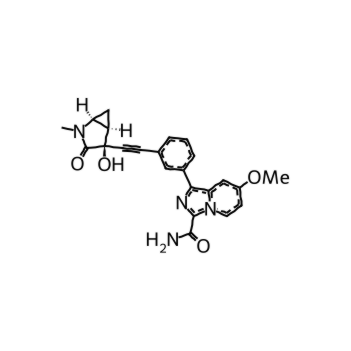 COc1ccn2c(C(N)=O)nc(-c3cccc(C#C[C@]4(O)C(=O)N(C)[C@H]5C[C@H]54)c3)c2c1